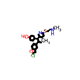 CC/C(=C(/c1ccc(O)cc1)c1ccc(SCCNC)nc1)c1ccc2oc(Cl)cc2c1